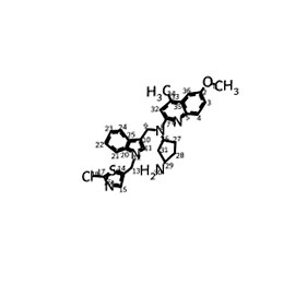 COc1ccc2nc(N(Cc3cn(Cc4cnc(Cl)s4)c4ccccc34)[C@H]3CC[C@H](N)C3)cc(C)c2c1